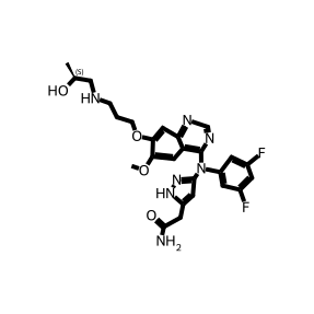 COc1cc2c(N(c3cc(F)cc(F)c3)c3cc(CC(N)=O)[nH]n3)ncnc2cc1OCCCNC[C@H](C)O